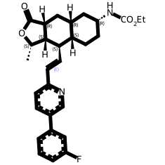 CCOC(=O)N[C@@H]1CC[C@H]2[C@@H](C1)C[C@H]1C(=O)O[C@@H](C)[C@H]1[C@@H]2/C=C/c1ccc(-c2cccc(F)c2)cn1